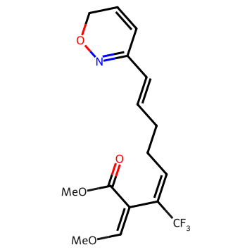 COC=C(C(=O)OC)C(=CCCC=CC1=NOCC=C1)C(F)(F)F